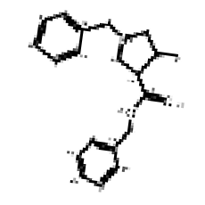 CC1CN(Cc2ccccc2)CC1C(=O)OCc1ccccc1